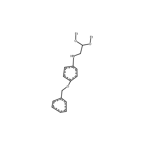 CCOC(CNc1ccc(OCc2ccccc2)cc1)OCC